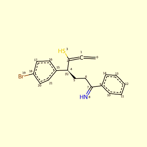 C=C=C(S)[C@@H](CCC(=N)c1ccccc1)c1ccc(Br)cc1